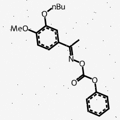 CCCCOc1cc(/C(C)=N/OC(=O)Oc2ccccc2)ccc1OC